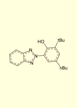 CCCCc1cc(-n2nc3ccccc3n2)c(O)c(C(C)(C)C)c1